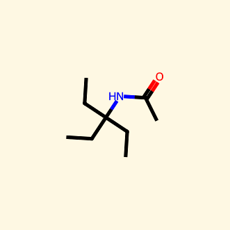 CCC(CC)(CC)NC(C)=O